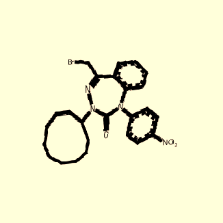 O=C1N(c2ccc([N+](=O)[O-])cc2)c2ccccc2C(CBr)=NN1C1CCCCCCCCC1